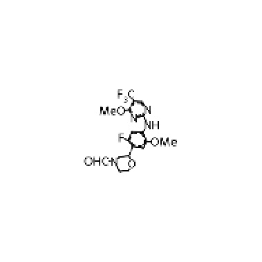 COc1cc(C2CN(C=O)CCO2)c(F)cc1Nc1ncc(C(F)(F)F)c(OC)n1